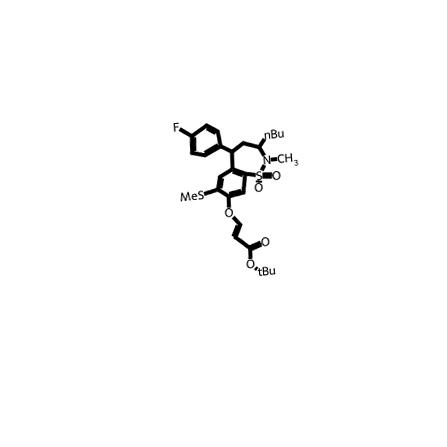 CCCCC1CC(c2ccc(F)cc2)c2cc(SC)c(O/C=C/C(=O)OC(C)(C)C)cc2S(=O)(=O)N1C